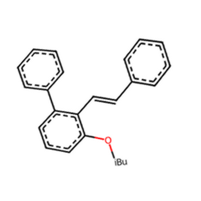 CCC(C)Oc1cccc(-c2ccccc2)c1C=Cc1ccccc1